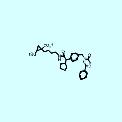 CC(C)(C)C1CC1(CCCCNC(=O)C(c1ccc(CN2N=C(c3ccccc3)OCC2=O)cc1)C1CCCC1)C(=O)O